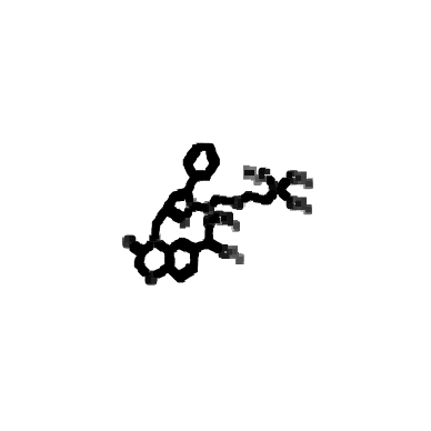 C=C(OC)c1ccc2c(c1)N(Cc1cc(-c3ccccc3)n(OCOCC[Si](C)(C)C)n1)C(=O)CO2